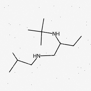 CC[C](CNCC(C)C)NC(C)(C)C